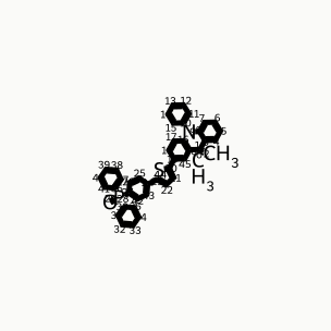 CC1(C)c2ccccc2N(c2ccccc2)c2ccc(-c3ccc(-c4ccc(P(=O)(c5ccccc5)c5ccccc5)cc4)s3)cc21